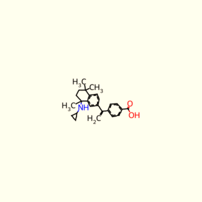 C=C(c1ccc(C(=O)O)cc1)c1ccc2c(c1)C(C)(NC1CC1)CCC2(C)C